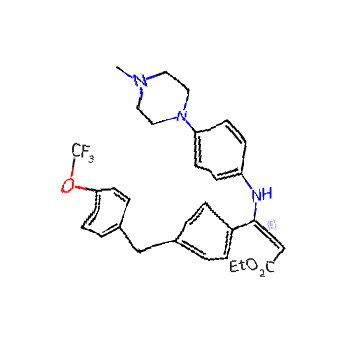 CCOC(=O)/C=C(/Nc1ccc(N2CCN(C)CC2)cc1)c1ccc(Cc2ccc(OC(F)(F)F)cc2)cc1